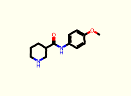 COc1ccc(NC(=O)C2CCCNC2)cc1